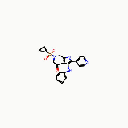 O=C1CN(S(=O)(=O)C2CC2)Cc2[nH]c(-c3ccncc3)c(Nc3ccccc3)c21